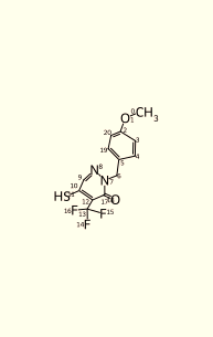 COc1ccc(Cn2ncc(S)c(C(F)(F)F)c2=O)cc1